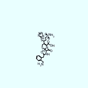 NCc1ccccc1CC(=O)NC1C(=O)N2C(C(=O)O)=C(C(CCS(N)(=O)=O)Sc3nnn[nH]3)CS[C@@H]12